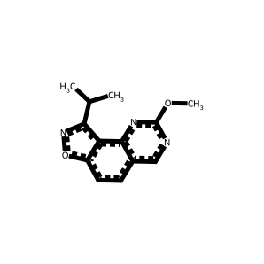 COc1ncc2ccc3onc(C(C)C)c3c2n1